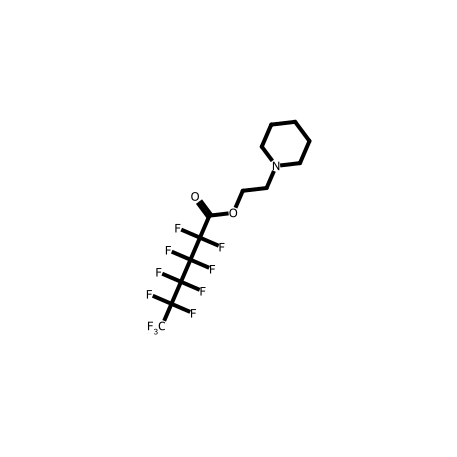 O=C(OCCN1CCCCC1)C(F)(F)C(F)(F)C(F)(F)C(F)(F)C(F)(F)F